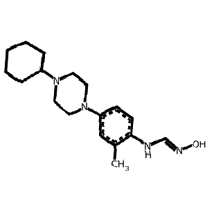 Cc1cc(N2CCN(C3CCCCC3)CC2)ccc1N/C=N/O